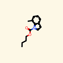 CCCCOC(=O)n1ccc2cccc(C)c21